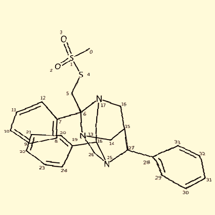 CS(=O)(=O)SCC1(c2ccccc2)N2CC3CN1C(c1ccccc1)N(C2)C3c1ccccc1